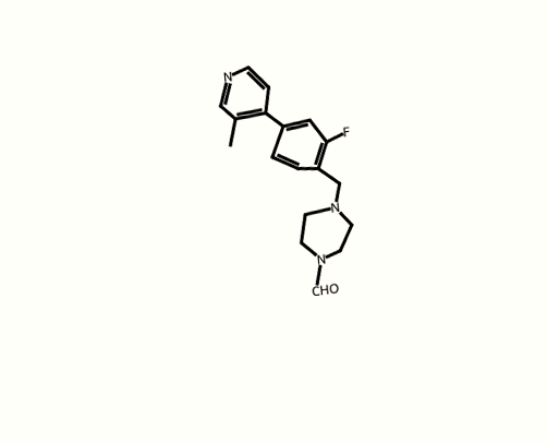 Cc1cnccc1-c1ccc(CN2CCN(C=O)CC2)c(F)c1